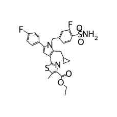 CCOC(=O)c1nc(-c2cc(-c3ccc(F)cc3)n(Cc3ccc(S(N)(=O)=O)c(F)c3)c2CC2CC2)sc1C